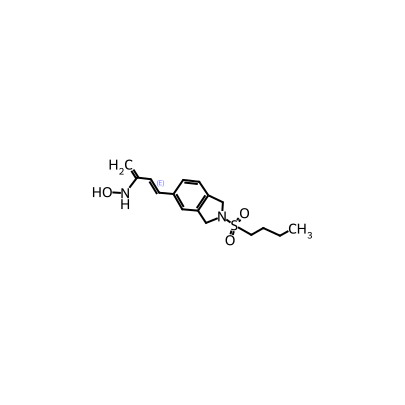 C=C(/C=C/c1ccc2c(c1)CN(S(=O)(=O)CCCC)C2)NO